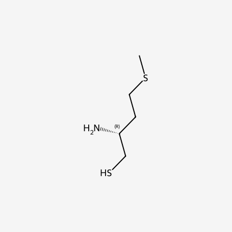 CSCC[C@@H](N)CS